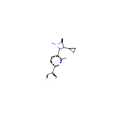 C=C1C(C2CC2)C(c2ccc(/C(C=N)=C/NC(F)(F)F)nc2C)N1C